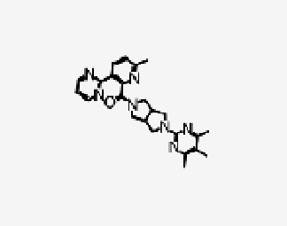 Cc1ccc(-c2ncccn2)c(C(=O)N2CC3CN(c4nc(C)c(C)c(C)n4)CC3C2)n1